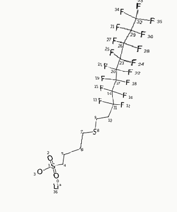 O=S(=O)([O-])CCCCSCCC(F)(F)C(F)(F)C(F)(F)C(F)(F)C(F)(F)C(F)(F)C(F)(F)C(F)(F)F.[Li+]